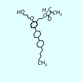 C=C(C)C(=O)OCCc1cc(C2CCC(C3CCC(CCCCC)CC3)CC2)ccc1OCCCO